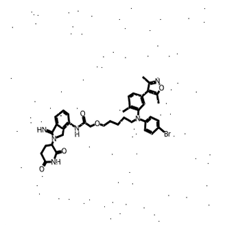 Cc1ccc(-c2c(C)noc2C)cc1N(CCCCCOCC(=O)Nc1cccc2c1CN(C1CCC(=O)NC1=O)C2=N)c1ccc(Br)cc1